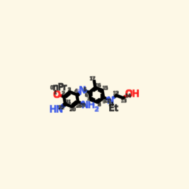 CCCOC1=C/C(=N/c2ccc(N(CC)CCO)cc2C)C(N)=CC1=N